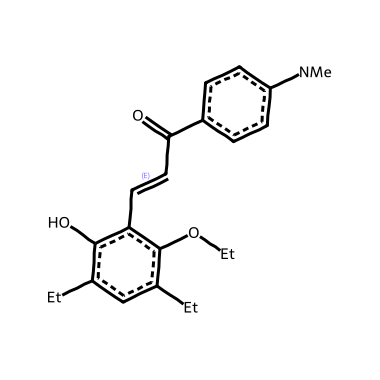 CCOc1c(CC)cc(CC)c(O)c1/C=C/C(=O)c1ccc(NC)cc1